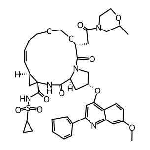 COc1ccc2c(O[C@@H]3C[C@H]4C(=O)N[C@]5(C(=O)NS(=O)(=O)C6CC6)C[C@H]5C=CCCCCC[C@H](CC(=O)N5CCOC(C)C5)C(=O)N4C3)cc(-c3ccccc3)nc2c1